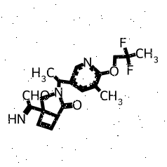 Cc1cc(C(C)N2CC3(C(=N)C=O)C=CC3C2=O)cnc1OCC(C)(F)F